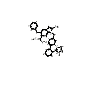 CCCCc1nc2cc(Cc3ccccc3)c(C(OC)OC)nc2n1Cc1ccc(-c2ccccc2-c2nnn[nH]2)cc1